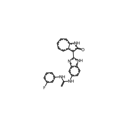 C=C(Nc1cccc(F)c1)Nc1ccc2[nH]c(-c3c4cccccc-4[nH]c3=O)nc2c1